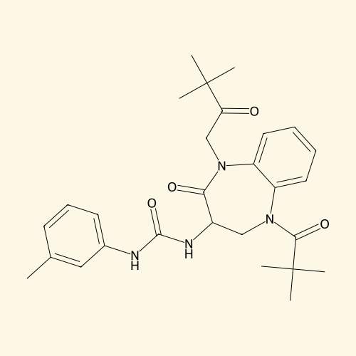 Cc1cccc(NC(=O)NC2CN(C(=O)C(C)(C)C)c3ccccc3N(CC(=O)C(C)(C)C)C2=O)c1